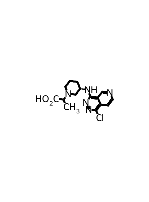 CC(C(=O)O)N1CCC[C@@H](Nc2nnc(Cl)c3ccncc23)C1